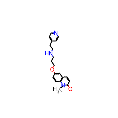 Cn1c(=O)ccc2cc(OCCCNCCc3ccncc3)ccc21